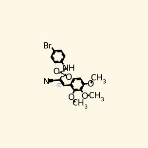 COc1ccc(/C=C(/C#N)S(=O)(=O)Nc2ccc(Br)cc2)c(OC)c1OC